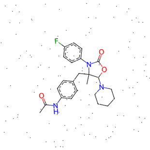 CC(=O)Nc1ccc(CC2(C)C(N3CCCCC3)OC(=O)N2c2ccc(F)cc2)cc1